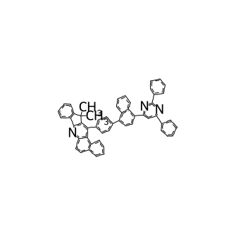 CC1(C)c2ccccc2-c2nc3ccc4ccccc4c3c(-c3ccc(-c4ccc(-c5cc(-c6ccccc6)nc(-c6ccccc6)n5)c5ccccc45)cc3)c21